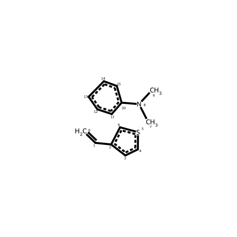 C=Cc1ccsc1.CN(C)c1ccccc1